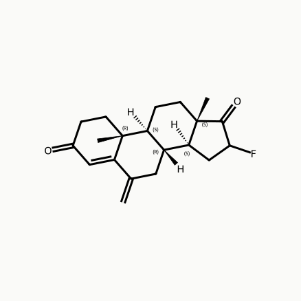 C=C1C[C@@H]2[C@H](CC[C@]3(C)C(=O)C(F)C[C@@H]23)[C@@]2(C)CCC(=O)C=C12